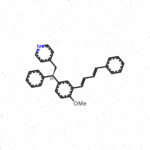 COc1ccc([C@H](Cc2ccncc2)c2ccccc2)cc1C=CC=Cc1ccccc1